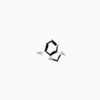 CCO.Cl.c1ccncc1